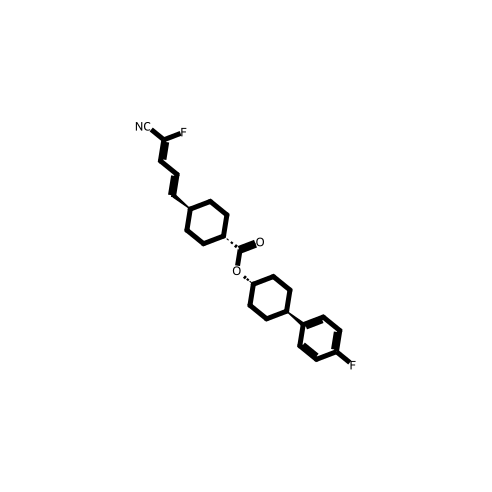 N#CC(F)=CC=C[C@H]1CC[C@H](C(=O)O[C@H]2CC[C@H](c3ccc(F)cc3)CC2)CC1